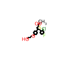 COC(=O)c1cc(-c2ccc(OCCCO)cc2)c(-c2ccc(F)cc2Cl)s1